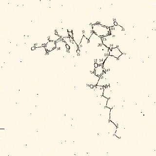 CCCCCCCCNC(=O)c1coc([C@@H]2CCCN2Cc2cc(OC)ccc2CCC(=O)NS(=O)(=O)c2ccc(Cl)s2)n1